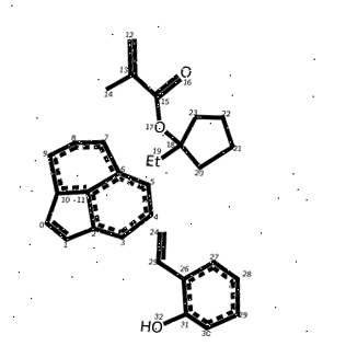 C1=Cc2cccc3cccc1c23.C=C(C)C(=O)OC1(CC)CCCC1.C=Cc1ccccc1O